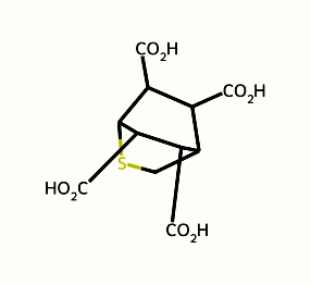 O=C(O)C1C2CSC(C1C(=O)O)C(C(=O)O)C2C(=O)O